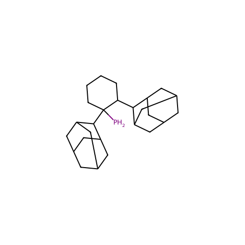 PC1(C2C3CC4CC(C3)CC2C4)CCCCC1C1C2CC3CC(C2)CC1C3